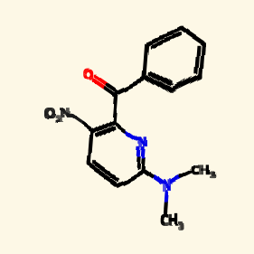 CN(C)c1ccc([N+](=O)[O-])c(C(=O)c2ccccc2)n1